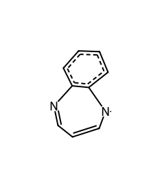 C1=C[N]c2ccccc2N=C1